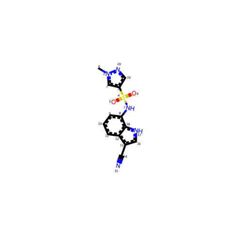 Cn1cc(S(=O)(=O)Nc2cccc3c(C#N)c[nH]c23)cn1